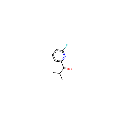 CC(C)C(=O)c1cccc(F)n1